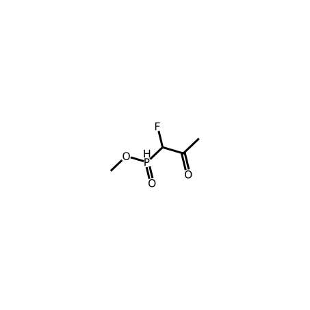 CO[PH](=O)C(F)C(C)=O